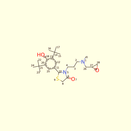 CN(CCCN1C(=O)CSC1c1cc(C(C)(C)C)c(O)c(C(C)(C)C)c1)CC1CO1